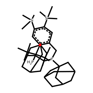 CC(C)(C)C(P)(c1cc([Si](C)(C)C)c([Si](C)(C)C)cc1CP(C12CC3CC(CC(C3)C1)C2)C12CC3CC(CC(C3)C1)C2)C(C)(C)C